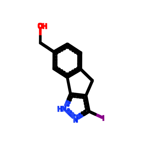 OCc1ccc2c(c1)-c1[nH]nc(I)c1C2